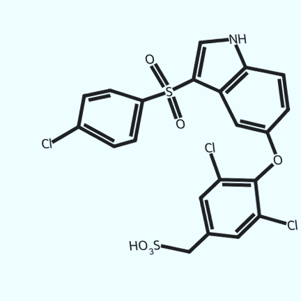 O=S(=O)(O)Cc1cc(Cl)c(Oc2ccc3[nH]cc(S(=O)(=O)c4ccc(Cl)cc4)c3c2)c(Cl)c1